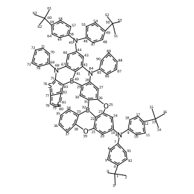 CC(C)(C)c1ccc(N(c2ccc(C(C)(C)C)cc2)c2cc3c4c(c2)Oc2cc5c(cc2B4c2ccccc2O3)B2c3c(cc(N(c4ccc(C(C)(C)C)cc4)c4ccc(C(C)(C)C)cc4)cc3N(c3ccccc3)c3sc4ccccc4c32)N5c2ccccc2)cc1